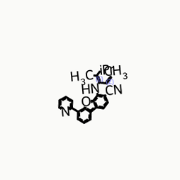 C/C=C\C(Nc1c(C#N)ccc2c1oc1c(-c3ccccn3)cccc12)=C(\C)C(C)C